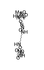 COc1cccc(F)c1-c1ncc2[nH]nc(-c3ccc(N4CCN(CC(=O)NCCCCCCCCNc5ccc6c(c5)C(=O)N(C5CCC(=O)NC5=O)C6=O)CC4)cc3)c2n1